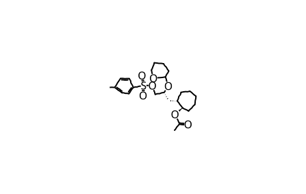 CC(=O)O[C@@H]1CCCCC[C@H]1C[C@H](COS(=O)(=O)c1ccc(C)cc1)OC1CCCCO1